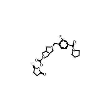 O=C(ON1C(=O)CCC1=O)N1CC2CN(Cc3ccc(C(=O)N4CCCC4)cc3F)CC2C1